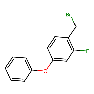 Fc1cc(Oc2ccccc2)ccc1CBr